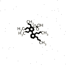 CCCCc1cccc(-c2cc(OC(=O)O)c(CCC)c(CCC)c2CCC)c1CCCC